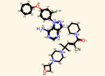 CC(C)(C=C(C#N)C(=O)N1CCC[C@@H](c2nn(-c3ccc(Oc4ccccc4)cc3F)c3c(N)ncnc23)C1)N1CCN(C2COC2)CC1